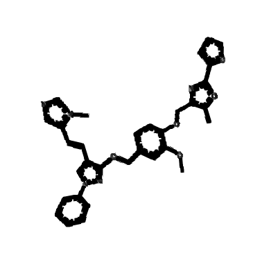 COc1cc(COc2nn(-c3ccccc3)cc2C=Cc2cncn2C)ccc1OCc1nc(-c2ccco2)oc1C